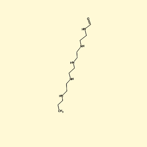 CCCNCCNCCNCCNCCNC=O